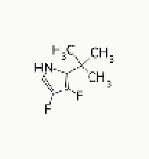 CC(C)(C)c1[nH]cc(F)c1F